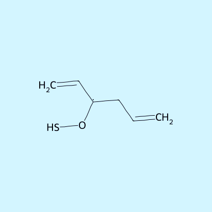 C=CC[C](C=C)OS